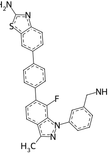 Cc1nn(-c2cccc(CN)c2)c2c(F)c(-c3ccc(-c4ccc5nc(N)sc5c4)cc3)ccc12